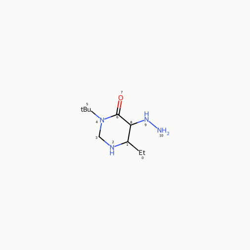 CCC1NCN(C(C)(C)C)C(=O)C1NN